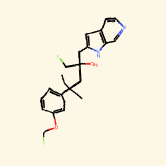 CC(C)(CC(O)(CF)Cc1cc2ccncc2[nH]1)c1cccc(OCF)c1